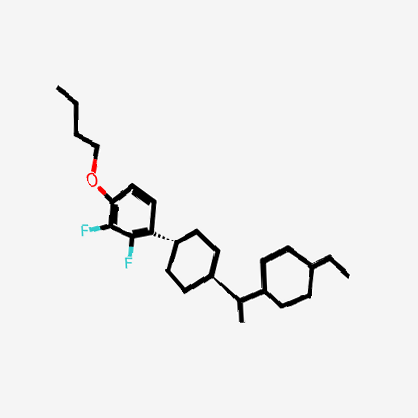 CCCCOc1ccc([C@H]2CC[C@H](C(C)C3CCC(CC)CC3)CC2)c(F)c1F